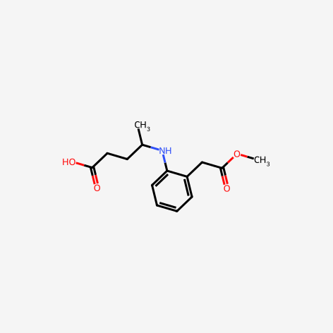 COC(=O)Cc1ccccc1NC(C)CCC(=O)O